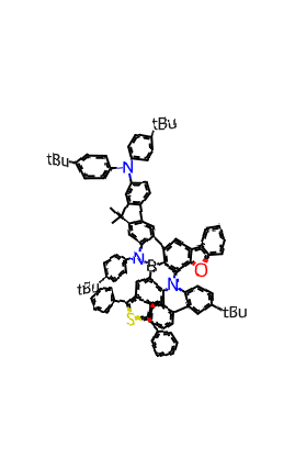 CC(C)(C)c1ccc(N2B3c4cc5c(-c6ccccc6)sc(-c6ccccc6)c5cc4N(c4ccc(C(C)(C)C)cc4-c4ccccc4)c4c3c(cc3c4oc4ccccc43)-c3cc4c(cc32)C(C)(C)c2cc(N(c3ccc(C(C)(C)C)cc3)c3ccc(C(C)(C)C)cc3)ccc2-4)cc1